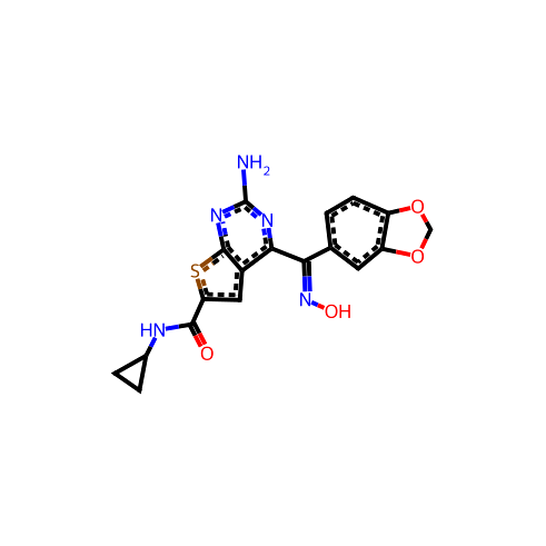 Nc1nc(C(=NO)c2ccc3c(c2)OCO3)c2cc(C(=O)NC3CC3)sc2n1